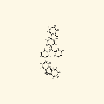 c1ccc(N(c2cccc(-c3ccc4sc5ccccc5c4c3)c2)c2ccc3c(c2)oc2ccccc23)cc1